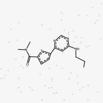 CCCNc1cc(-c2ccc(C(=O)N(C)C)s2)ncn1